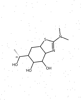 C[C@@H](O)C1CC2SC(N(C)C)=NC2C(O)C1O